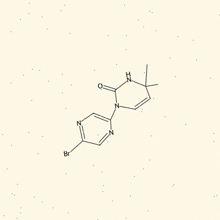 CC1(C)C=CN(c2cnc(Br)cn2)C(=O)N1